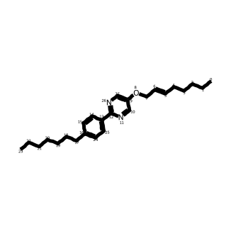 CCCCCC=CCOc1cnc(-c2ccc(CCCCCCC)cc2)nc1